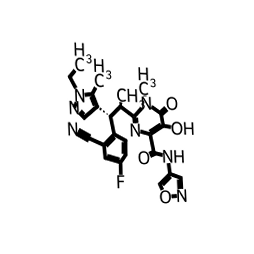 CCn1ncc([C@@H](c2ccc(F)cc2C#N)[C@@H](C)c2nc(C(=O)Nc3cnoc3)c(O)c(=O)n2C)c1C